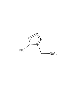 CNCn1nccc1C#N